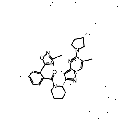 Cc1noc(-c2ccccc2C(=O)N2CCCC[C@H]2c2cc3nc(N4CC[C@H](C)C4)c(C)cn3n2)n1